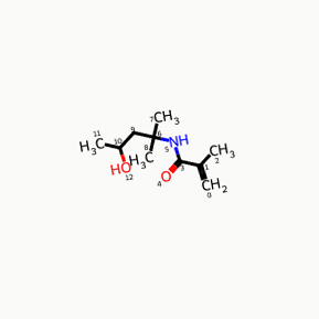 C=C(C)C(=O)NC(C)(C)CC(C)O